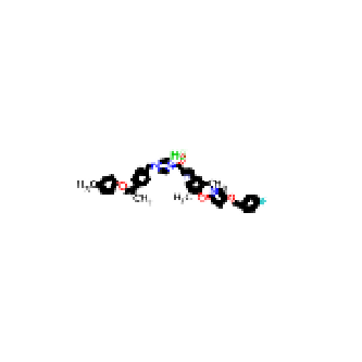 Cc1ccc(OCC(C)c2ccc(CN3CCN(C(=O)/C=C/c4cc(C)c(Oc5ccc(OCc6ccc(F)cc6)cn5)c(C)c4)CC3)cc2)cc1.Cl